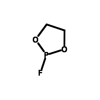 FP1OCCO1